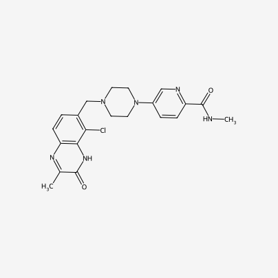 CNC(=O)c1ccc(N2CCN(Cc3ccc4nc(C)c(=O)[nH]c4c3Cl)CC2)cn1